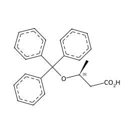 C[C@@H](CC(=O)O)OC(c1ccccc1)(c1ccccc1)c1ccccc1